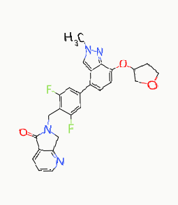 Cn1cc2c(-c3cc(F)c(CN4Cc5ncccc5C4=O)c(F)c3)ccc(OC3CCOC3)c2n1